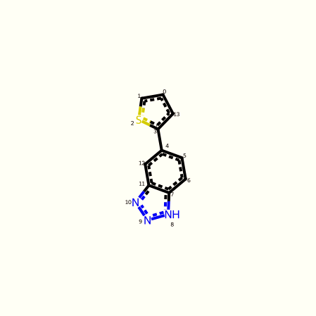 c1csc(-c2ccc3[nH]nnc3c2)c1